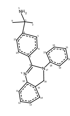 CC(C)(N)c1ccc(C2=Nc3ccccc3CN2c2ccccc2)cc1